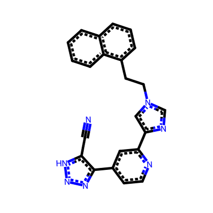 N#Cc1[nH]nnc1-c1ccnc(-c2cn(CCc3cccc4ccccc34)cn2)c1